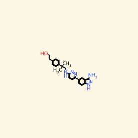 CC(C)(CNc1ccc(-c2ccc3[nH]nc(N)c3c2)nn1)c1ccc(CCO)cc1